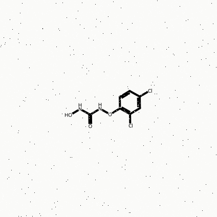 O=C(NO)NOc1ccc(Cl)cc1Cl